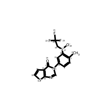 Cc1ccc(-n2cnc3sccc3c2=O)cc1[S+]([O-])CC(F)(F)F